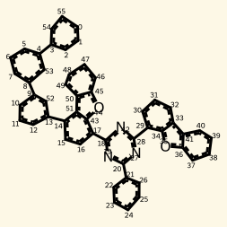 c1ccc(-c2cccc(-c3cccc(-c4ccc(-c5nc(-c6ccccc6)nc(-c6cccc7c6oc6ccccc67)n5)c5oc6ccccc6c45)c3)c2)cc1